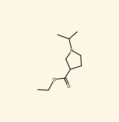 CCOC(=O)C1CCN(C(C)C)C1